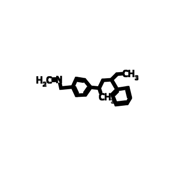 C=NCc1ccc(C(C)CC(CC)c2ccccc2)cc1